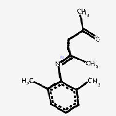 CC(=O)C/C(C)=N/c1c(C)cccc1C